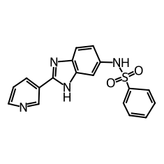 O=S(=O)(Nc1ccc2nc(-c3cccnc3)[nH]c2c1)c1ccccc1